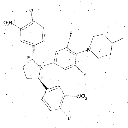 CC1CCN(c2c(F)cc(N3[C@@H](c4ccc(Cl)c([N+](=O)[O-])c4)CC[C@@H]3c3ccc(Cl)c([N+](=O)[O-])c3)cc2F)CC1